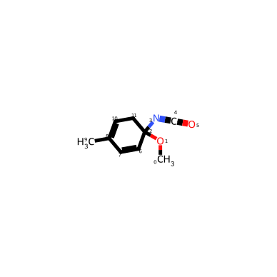 COC1(N=C=O)C=CC(C)=CC1